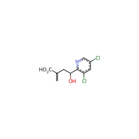 C=C(CC(O)c1ncc(Cl)cc1Cl)C(=O)O